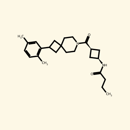 CCCC(=O)N[C@H]1C[C@@H](C(=O)N2CCC3(CC2)CC(c2cc(C)ccc2C)C3)C1